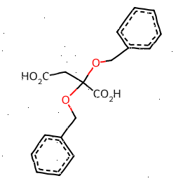 O=C(O)CC(OCc1ccccc1)(OCc1ccccc1)C(=O)O